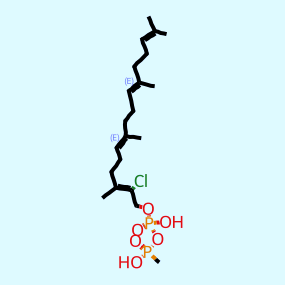 CC(C)=CCC/C(C)=C/CC/C(C)=C/CCC(C)=C(Cl)COP(=O)(O)OP(C)(=O)O